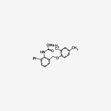 COC(=O)Nc1c(COc2ccc(C)cc2C)cccc1C(C)C